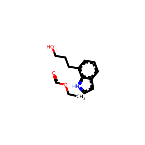 CCOC=O.OCCCc1cccc2cc[nH]c12